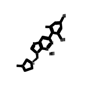 Cc1cc(Cl)cc(O)c1-c1cc2ncn(C[C@@H]3CCN(C)C3)c2nn1.Cl